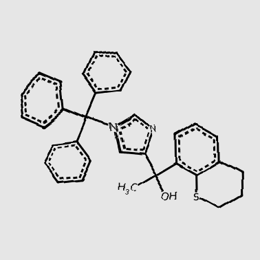 CC(O)(c1cn(C(c2ccccc2)(c2ccccc2)c2ccccc2)cn1)c1cccc2c1SCCC2